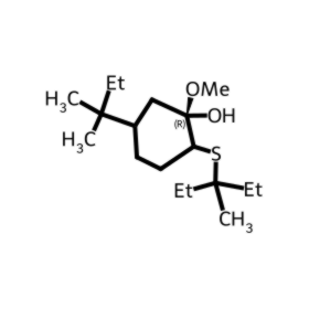 CCC(C)(CC)SC1CCC(C(C)(C)CC)C[C@@]1(O)OC